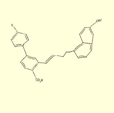 O=C(O)c1ccc(-c2ccc(F)cc2)cc1C=CCCc1cccc2cc(O)ccc12